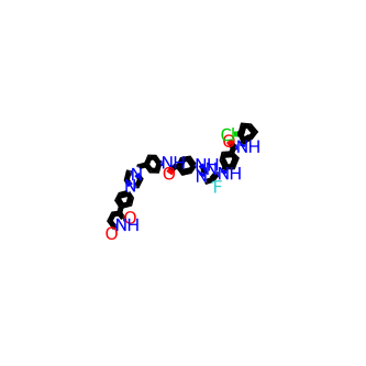 O=C1CCC(c2ccc(N3CCN(CC4CCC(NC(=O)c5ccc(Nc6ncc(F)c(Nc7ccc(C(=O)Nc8ccccc8Cl)cc7)n6)cc5)CC4)CC3)cc2)C(=O)N1